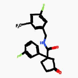 O=C1CCC(C(=O)NCc2cc(F)cc(C(F)(F)F)c2)(c2cccc(F)c2)C1